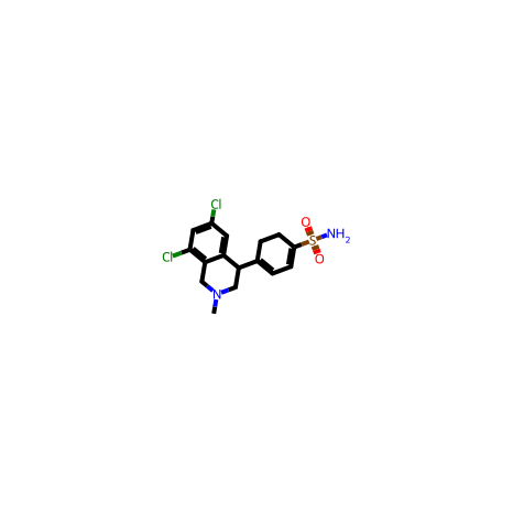 CN1Cc2c(Cl)cc(Cl)cc2C(C2=CC=C(S(N)(=O)=O)CC2)C1